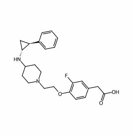 O=C(O)Cc1ccc(OCCN2CCC(N[C@@H]3C[C@H]3c3ccccc3)CC2)c(F)c1